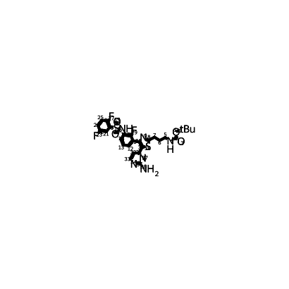 CC(C)(C)OC(=O)NCCCc1nc(-c2cccc(NS(=O)(=O)c3cc(F)ccc3F)c2F)c(-c2ccnc(N)n2)s1